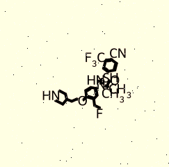 CC1(C)C(=O)[SH](c2ccc(C#N)c(C(F)(F)F)c2)NN1c1ccc(OCCC2CCNCC2)c(CCF)c1